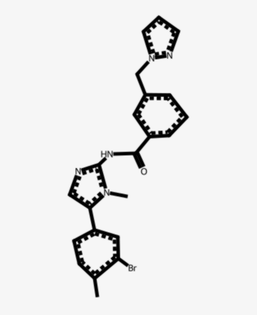 Cc1ccc(-c2cnc(NC(=O)c3cccc(Cn4cccn4)c3)n2C)cc1Br